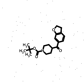 CC(C)(C)OC(=O)N1CCC(C(=O)c2ccc3c(c2)OCC3)CC1